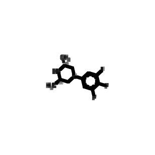 C[C@@H]1CN(c2cc(F)c(F)c(F)c2)C[C@@H](C)N1